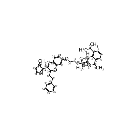 CC(C)c1cccc(C(C)C)c1NC(=O)C(C)(C)CCCOc1ccc2c(c1)OC(CCc1ccccc1)C(c1nccn1C)=C2